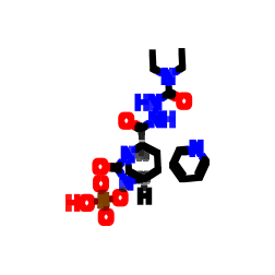 CCN(CC)C(=O)NNC(=O)[C@@H]1CC[C@@H]2CN1C(=O)N2OS(=O)(=O)O.c1ccncc1